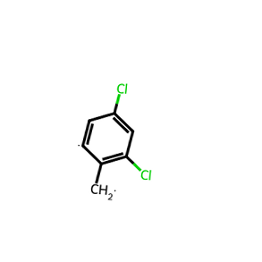 [CH2]c1[c]cc(Cl)cc1Cl